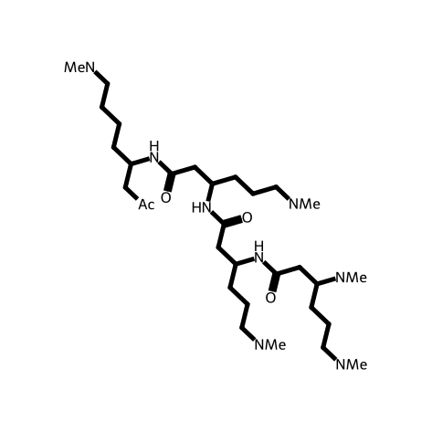 CNCCCCC(CC(C)=O)NC(=O)CC(CCCNC)NC(=O)CC(CCCNC)NC(=O)CC(CCCNC)NC